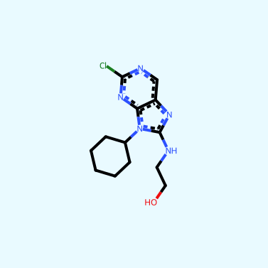 OCCNc1nc2cnc(Cl)nc2n1C1CCCCC1